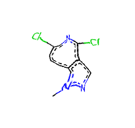 Cn1ncc2c(Cl)nc(Cl)cc21